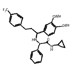 COc1ccc(C(CCc2ccc(C(F)(F)F)cc2)N[C@@H](C(=O)NC2CC2)c2ccccc2)cc1OC